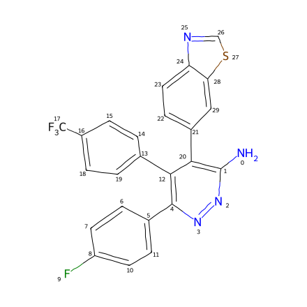 Nc1nnc(-c2ccc(F)cc2)c(-c2ccc(C(F)(F)F)cc2)c1-c1ccc2ncsc2c1